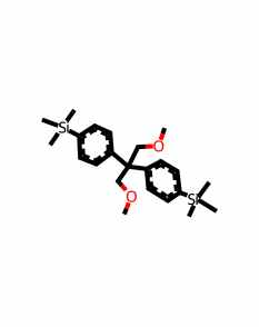 COCC(COC)(c1ccc([Si](C)(C)C)cc1)c1ccc([Si](C)(C)C)cc1